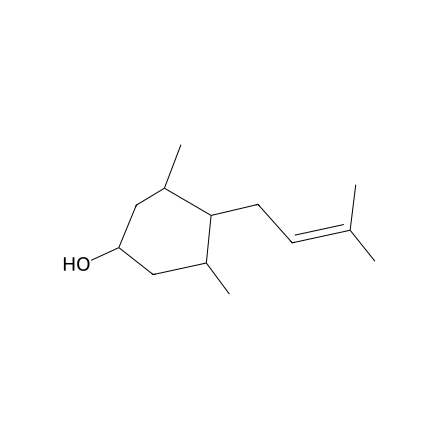 CC(C)=CCC1C(C)CC(O)CC1C